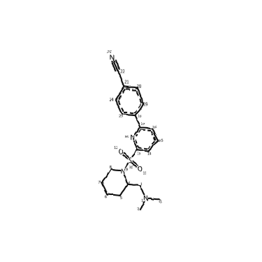 CN(C)CC1CCCCN1S(=O)(=O)c1cccc(-c2ccc(C#N)cc2)n1